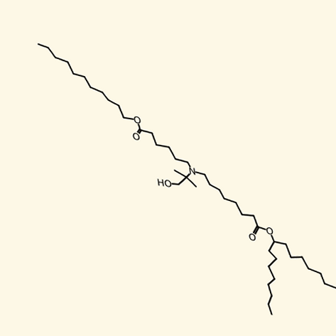 CCCCCCCCCCCOC(=O)CCCCCN(CCCCCCCC(=O)OC(CCCCCCCC)CCCCCCCC)C(C)(C)CO